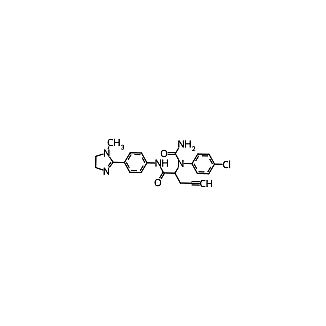 C#CCC(C(=O)Nc1ccc(C2=NCCN2C)cc1)N(C(N)=O)c1ccc(Cl)cc1